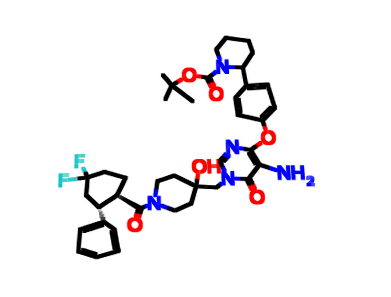 CC(C)(C)OC(=O)N1CCCCC1c1ccc(Oc2ncn(CC3(O)CCN(C(=O)[C@@H]4CCC(F)(F)C[C@H]4c4ccccc4)CC3)c(=O)c2N)cc1